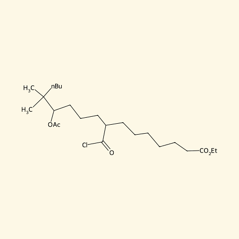 CCCCC(C)(C)C(CCCC(CCCCCCC(=O)OCC)C(=O)Cl)OC(C)=O